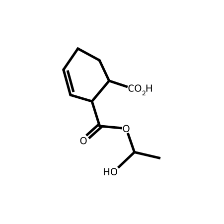 CC(O)OC(=O)C1C=CCCC1C(=O)O